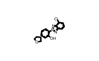 C1CCOC1.Oc1ccccc1-n1nc2cccc(Cl)c2n1